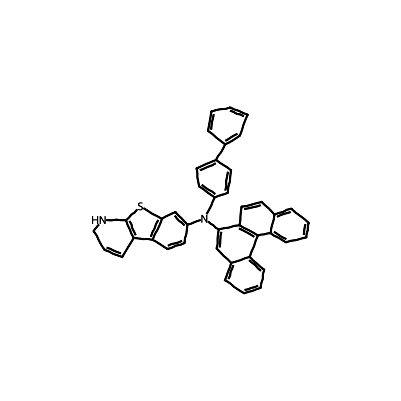 C1=Cc2c(sc3cc(N(c4ccc(-c5ccccc5)cc4)c4cc5ccccc5c5c4ccc4ccccc45)ccc23)NC1